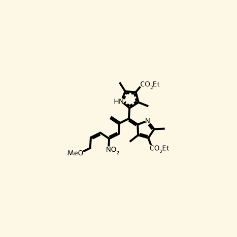 C=C(/C=C(\C=C/COC)[N+](=O)[O-])/C(=C1/N=C(C)C(C(=O)OCC)=C1C)c1[nH]c(C)c(C(=O)OCC)c1C